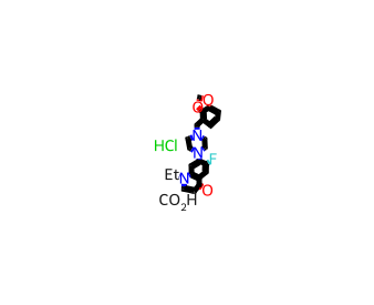 CCn1cc(C(=O)O)c(=O)c2cc(F)c(N3CCN(Cc4cccc5c4OCO5)CC3)cc21.Cl